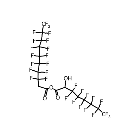 O=C(CC(F)(F)C(F)(F)C(F)(F)C(F)(F)C(F)(F)C(F)(F)C(F)(F)C(F)(F)F)OC(=O)C(O)C(F)(F)C(F)(F)C(F)(F)C(F)(F)C(F)(F)C(F)(F)F